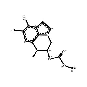 C[C@H]1c2cc(F)c(Cl)c3ccn(c23)C[C@H]1NC(=O)OC(C)(C)C